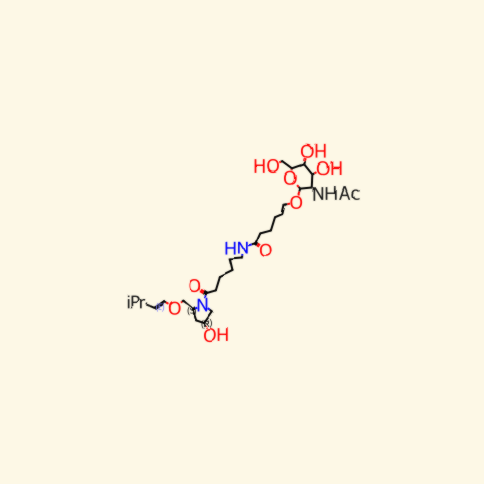 CC(=O)NC1C(OCCCCCC(=O)NCCCCCC(=O)N2C[C@H](O)C[C@H]2CO/C=C/C(C)C)OC(CO)C(O)C1O